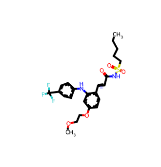 CCCCCS(=O)(=O)NC(=O)/C=C/c1ccc(OCCOC)cc1Nc1ccc(C(F)(F)F)cc1